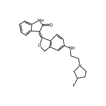 O=C1Nc2ccccc2C1=C1OCc2cc(NCCN3CCC(F)C3)ccc21